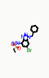 CCS(=O)(=O)Nc1cc(Br)cc2c1nnn2Cc1ccccc1